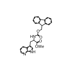 COC(=O)C(Cc1c[nH]c2ncccc12)NC(=O)OCC1c2ccccc2-c2ccccc21